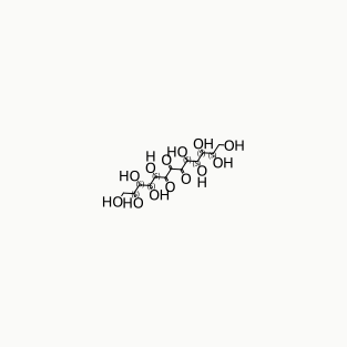 O=C(C(=O)[C@@H](O)[C@@H](O)[C@@H](O)[C@@H](O)CO)C(=O)[C@@H](O)[C@@H](O)[C@@H](O)[C@@H](O)CO